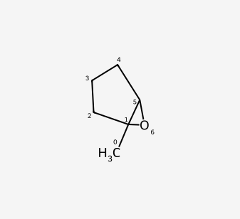 CC12CCCC1O2